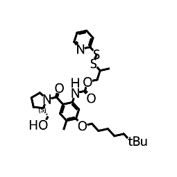 Cc1cc(C(=O)N2CCC[C@H]2CO)c(NC(=O)OCC(C)SSc2ccccn2)cc1OCCCCCC(C)(C)C